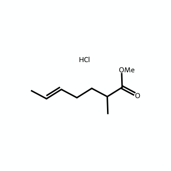 CC=CCCC(C)C(=O)OC.Cl